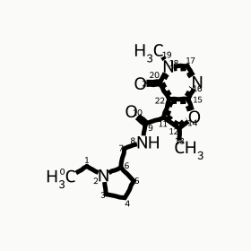 CCN1CCCC1CNC(=O)c1c(C)oc2ncn(C)c(=O)c12